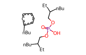 CCCCC(CC)COP(=O)(O)OCC(CC)CCCC.CCCCc1ccccc1